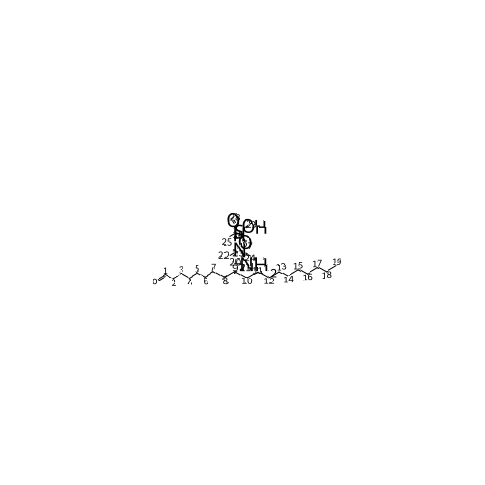 C=CCCCCCCCCCCCCCCCCCC.CN.CNC.CS(=O)(=O)O